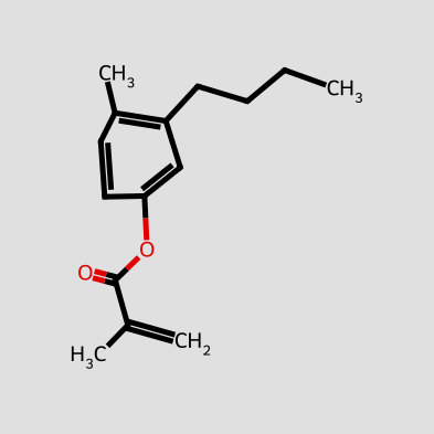 C=C(C)C(=O)Oc1ccc(C)c(CCCC)c1